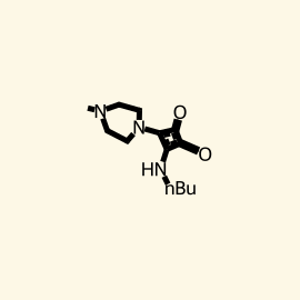 CCCCNc1c(N2CCN(C)CC2)c(=O)c1=O